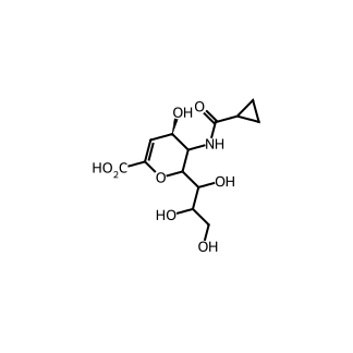 O=C(O)C1=C[C@@H](O)C(NC(=O)C2CC2)C(C(O)C(O)CO)O1